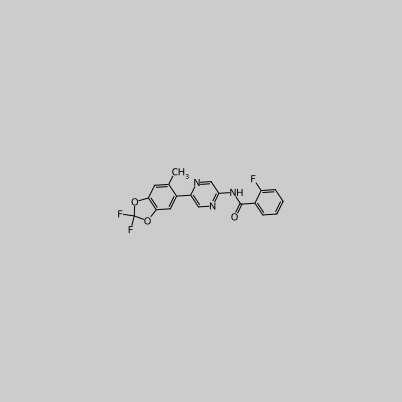 Cc1cc2c(cc1-c1cnc(NC(=O)c3ccccc3F)cn1)OC(F)(F)O2